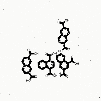 O=C(O)c1cc(C(=O)O)c2ccccc2c1.O=C(O)c1ccc(C(=O)O)c2ccccc12.O=C(O)c1ccc2cc(C(=O)O)ccc2c1.O=C(O)c1ccc2ccc(C(=O)O)cc2c1